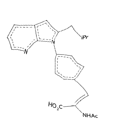 CC(=O)NC(=Cc1ccc(-n2c(CC(C)C)cc3cccnc32)cc1)C(=O)O